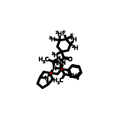 [2H]C1(C(=O)NC(CCN2C3CCC2CC(n2c(C)nnc2C(C)C)C3)c2ccccc2)CC([2H])([2H])C(F)(F)C([2H])([2H])C1